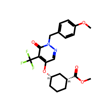 COC(=O)[C@@H]1CCC[C@H](Oc2cnn(Cc3ccc(OC)cc3)c(=O)c2C(F)(F)F)C1